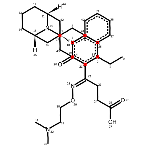 CCC1CC2CC(C1)CC(N1[C@@H]3CCC[C@H]1C[C@@H](n1c(=O)c(/C(CCC(=O)O)=N/OCCN(C)C)nc4ccccc41)C3)C2